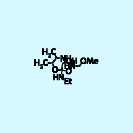 CCNC(CO)(ONCOC)OC(C)C(C)N